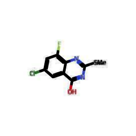 CSc1nc(O)c2cc(Cl)cc(F)c2n1